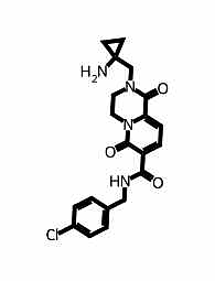 NC1(CN2CCn3c(ccc(C(=O)NCc4ccc(Cl)cc4)c3=O)C2=O)CC1